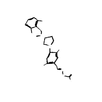 CN(Cc1c(F)cccc1Cl)[C@@H]1CCN(c2cc(F)c(/C=N/NC(N)=S)cc2F)C1